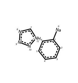 [Na][c]1ccccc1.c1nnn[nH]1